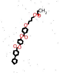 C=CC(=O)OCCCCCOc1ccc(C(=O)OC2=CC=C(OC(=O)c3ccc(-c4ccccc4)cc3)CC2)cc1